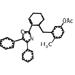 CC(=O)Oc1ccc(C)c(CC2CCCC=C2c2nc(-c3ccccc3)c(-c3ccccc3)o2)c1